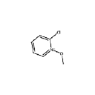 CO[n+]1ccccc1Cl